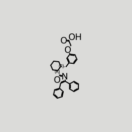 O=C(O)COc1cccc(C[C@H]2CCCC[C@H]2c2nc(-c3ccccc3)c(-c3ccccc3)o2)c1